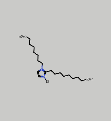 CCCCCCCCCCCCCCCCCCc1n(CCCCCCCCCCCCCCCCC)cc[n+]1CC